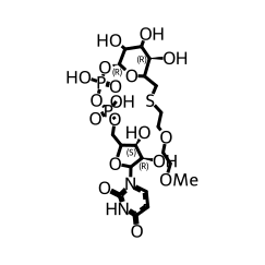 COCCOCCSCC1O[C@H](OP(=O)(O)OP(=O)(O)OCC2OC(n3ccc(=O)[nH]c3=O)[C@H](O)[C@@H]2O)C(O)C(O)[C@H]1O